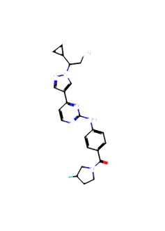 N#CCC(C1CC1)n1cc(-c2ccnc(Nc3ccc(C(=O)N4CCC(F)C4)cc3)n2)cn1